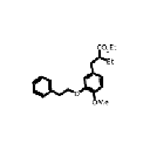 CCOC(=O)C(CC)Cc1ccc(OC)c(OCCc2ccccc2)c1